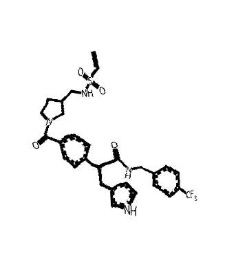 C=CS(=O)(=O)NCC1CCN(C(=O)c2ccc(C(Cc3cc[nH]c3)C(=O)NCc3ccc(C(F)(F)F)cc3)cc2)C1